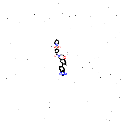 O=C(c1ccc(S(=O)(=O)N2CCCCC2)cc1)N1CCOc2ccc(-c3ccc4nc[nH]c4c3)cc2C1